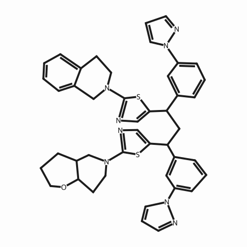 c1cc(C(CC(c2cccc(-n3cccn3)c2)c2cnc(N3CCC4OCCCC4C3)s2)c2cnc(N3CCc4ccccc4C3)s2)cc(-n2cccn2)c1